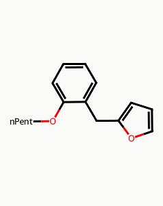 CCCCCOc1ccccc1Cc1ccco1